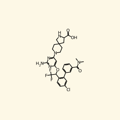 CN(C)C(=O)c1cccc(-c2cc(Cl)ccc2C(Oc2cc(N3CCC4(CC3)CNC(C(=O)O)C4)nc(N)n2)C(F)(F)F)c1